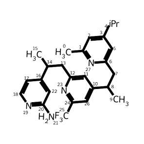 Cc1cc(C(C)C)cc(CC(C)c2cc(CC(C)c3ccnc(N)c3)nc(C(F)(F)F)c2)n1